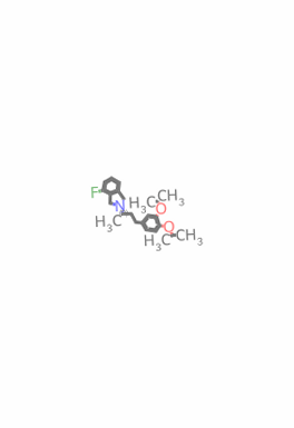 CC(C)Oc1ccc(CC[C@@H](C)N2Cc3cccc(F)c3C2)cc1OC(C)C